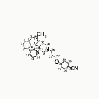 CN1Cc2ccccc2C(c2ccccn2)(C2CCN(CCCOc3ccc(C#N)cc3)CC2)C1